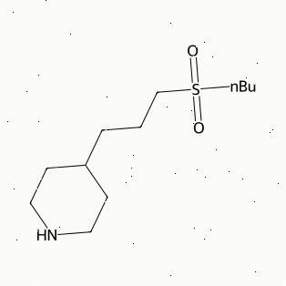 CCCCS(=O)(=O)CCCC1CCNCC1